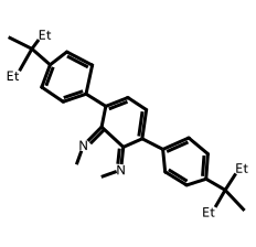 CCC(C)(CC)c1ccc(C2=CC=C(c3ccc(C(C)(CC)CC)cc3)C(=N/C)/C2=N\C)cc1